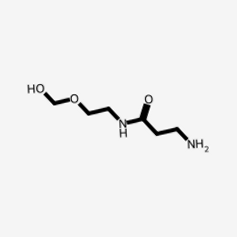 NCCC(=O)NCCOCO